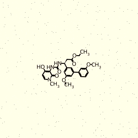 CCOC(=O)C[C@H](NC(=O)Nc1c(O)ccn(C)c1=O)c1cc(OC)cc(-c2cccc(OC)c2)c1